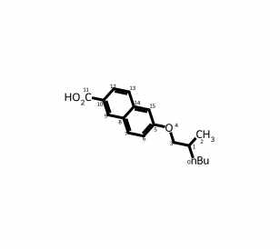 CCCCC(C)COc1ccc2cc(C(=O)O)ccc2c1